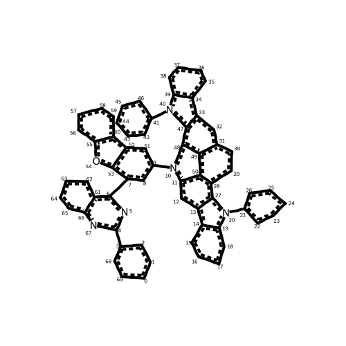 c1ccc(-c2nc(-c3cc(-n4c5cc6c7ccccc7n(-c7ccccc7)c6c6ccc7cc8c9ccccc9n(-c9ccccc9)c8c4c7c65)cc4c3oc3ccccc34)c3ccccc3n2)cc1